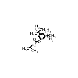 CC(C)COC(=O)Oc1cc(C(C)(C)C)cc(C(C)(C)C)c1